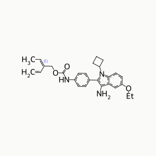 C=C/C(=C\C)COC(=O)Nc1ccc(-c2c(N)c3cc(OCC)ccc3n2C2CCC2)cc1